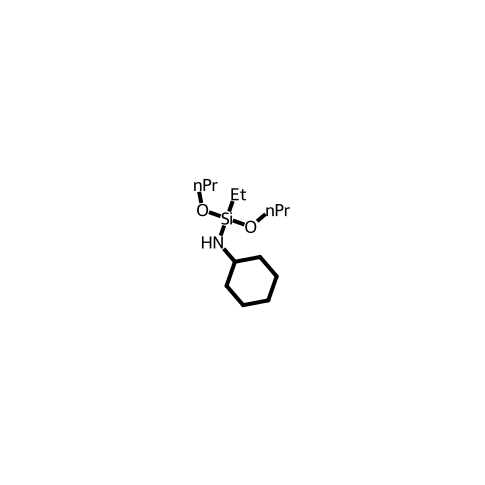 CCCO[Si](CC)(NC1CCCCC1)OCCC